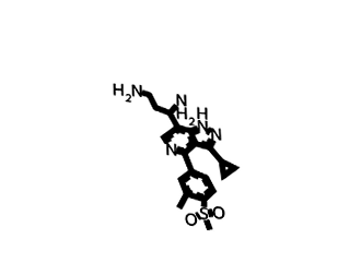 Cc1cc(-c2ncc(C(N)CCN)c3[nH]nc(C4CC4)c23)ccc1S(C)(=O)=O